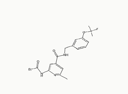 CCC(=O)Nc1cc(C(=O)NCc2cccc(OC(C)(C)F)c2)cc(C)n1